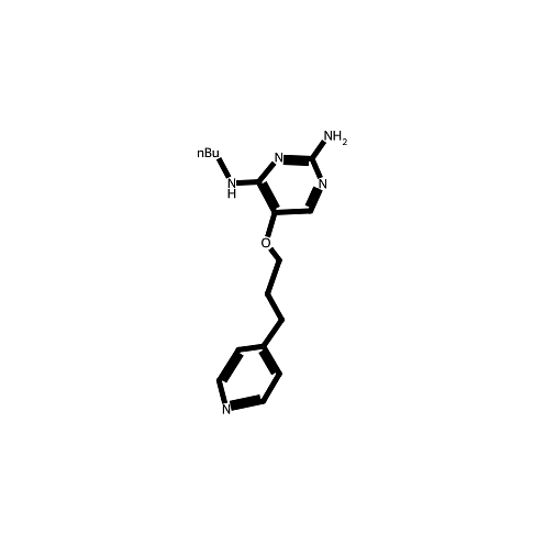 CCCCNc1nc(N)ncc1OCCCc1ccncc1